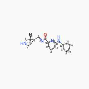 O=C(/N=C/C1C2CNC[C@H]12)c1cccc(Nc2ccccc2)n1